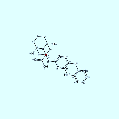 O=C(O)CC1[C@@H]2CCC[C@H]1CN(Cc1ccc3c(c1)Nc1nccnc1S3)C2